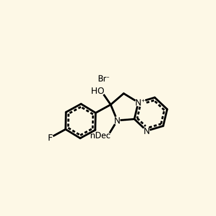 CCCCCCCCCCN1c2nccc[n+]2CC1(O)c1ccc(F)cc1.[Br-]